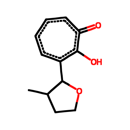 CC1CCOC1c1ccccc(=O)c1O